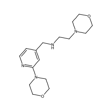 c1cc(CNCCN2CCOCC2)cc(N2CCOCC2)n1